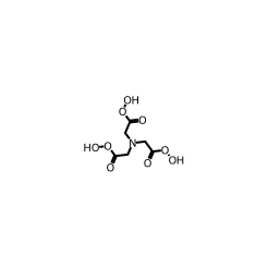 O=C(CN(CC(=O)OO)CC(=O)OO)OO